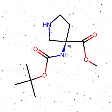 COC(=O)[C@@]1(NC(=O)OC(C)(C)C)CCNC1